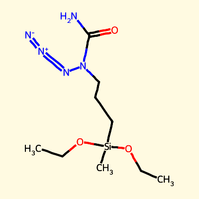 CCO[Si](C)(CCCN(N=[N+]=[N-])C(N)=O)OCC